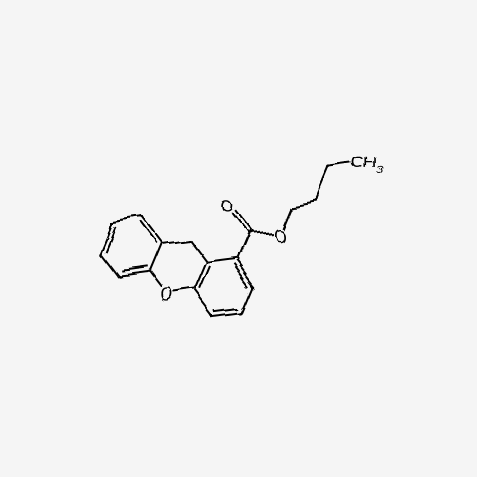 CCCCOC(=O)c1cccc2c1Cc1ccccc1O2